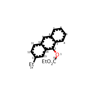 CCOC(=O)Oc1c2ccccc2cc2ccc(CC)cc12